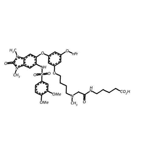 CCCOc1cc(OCCCCN(C)CC(=O)NCCCCC(=O)O)cc(Oc2cc3c(cc2NS(=O)(=O)c2ccc(OC)c(OC)c2)n(C)c(=O)n3C)c1